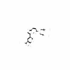 Cc1n[nH]c2ncc(-c3cnc4ccc(N5CC(C)(C)OC(C)(C)C5)nn34)cc12